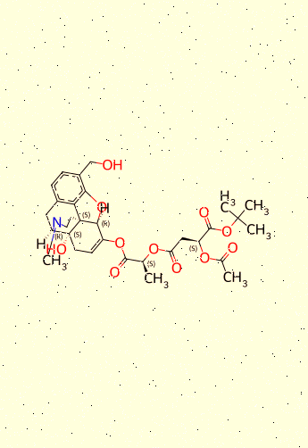 CC(=O)O[C@@H](CC(=O)O[C@@H](C)C(=O)OC1=CC[C@@]2(O)[C@H]3Cc4ccc(CO)c5c4[C@@]2(CCN3C)[C@H]1O5)C(=O)OC(C)(C)C